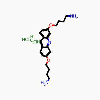 Cl.Cl.Cl.NCCCCOc1ccc2cc3ccc(OCCCCN)cc3nc2c1